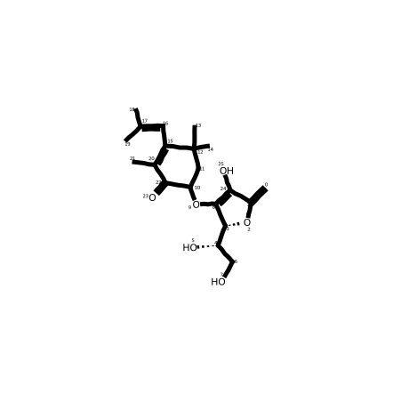 C=C1O[C@H]([C@@H](O)CO)C(OC2CC(C)(C)C(C=C(C)C)=C(C)C2=O)=C1O